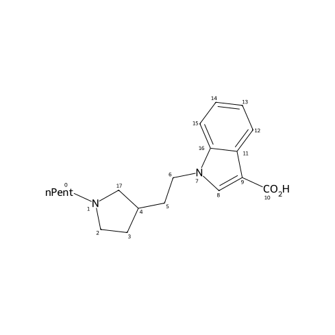 CCCCCN1CCC(CCn2cc(C(=O)O)c3ccccc32)C1